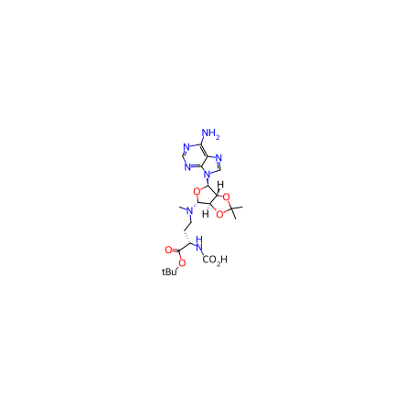 CN(CC[C@H](NC(=O)O)C(=O)OC(C)(C)C)[C@@H]1O[C@@H](n2cnc3c(N)ncnc32)[C@@H]2OC(C)(C)O[C@H]21